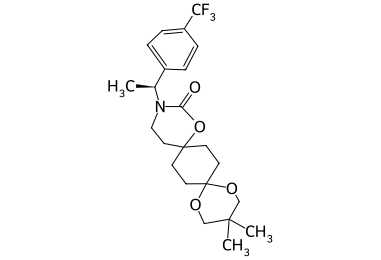 C[C@@H](c1ccc(C(F)(F)F)cc1)N1CCC2(CCC3(CC2)OCC(C)(C)CO3)OC1=O